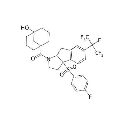 O=C(N1CCC2(S(=O)(=O)c3ccc(F)cc3)c3ccc(C(F)(C(F)(F)F)C(F)(F)F)cc3CC12)C12CCCC(O)(CCC1)C2